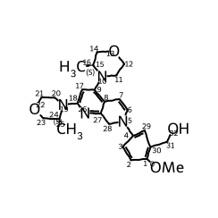 COc1ccc(N2C=Cc3c(N4CCOC[C@@H]4C)cc(N4CCOC[C@@H]4C)nc3C2)cc1CO